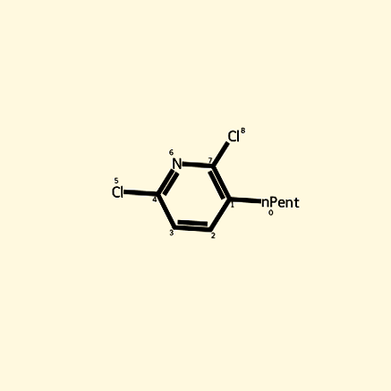 CCCCCc1ccc(Cl)nc1Cl